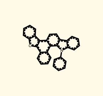 c1ccc(-n2c3ccccc3c3ccc4c5c6ccccc6oc5c5ccccc5c4c32)cc1